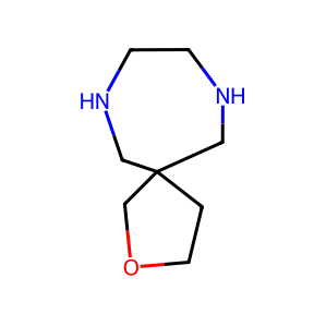 C1CNCC2(CCOC2)CN1